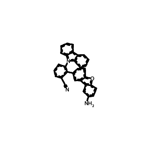 N#Cc1cccc(-n2c3ccccc3c3ccccc32)c1-c1ccc2oc3ccc(N)cc3c2c1